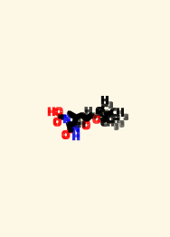 CC(C)(C)[Si](C)(C)OCC(=O)CC1CN(C(=O)O)C2C(=O)N[C@H]12